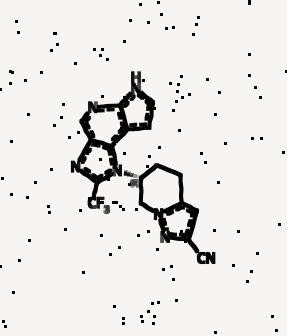 N#Cc1cc2n(n1)C[C@H](n1c(C(F)(F)F)nc3cnc4[nH]ccc4c31)CC2